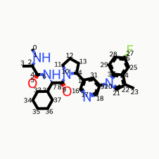 CNC(C)C(=O)N[C@H](C(=O)N1CCCC1c1cncc(-n2cc(C)c3cc(F)ccc32)c1)C1CCCCC1